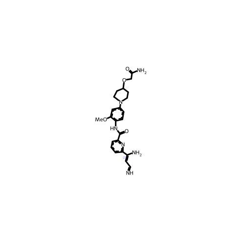 COc1cc(N2CCC(OCC(N)=O)CC2)ccc1NC(=O)c1cccc(/C(N)=C/C=N)n1